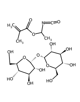 C=C(C)C(=O)OC(C)N=C=O.OC[C@H]1O[C@H](O[C@H]2O[C@H](CO)[C@@H](O)[C@H](O)[C@H]2O)[C@H](O)[C@@H](O)[C@@H]1O